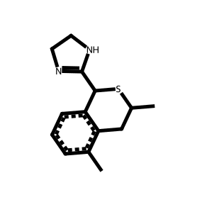 Cc1cccc2c1CC(C)SC2C1=NCCN1